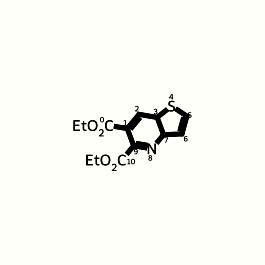 CCOC(=O)C1=CC2SC=CC2N=C1C(=O)OCC